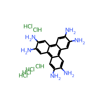 Cl.Cl.Cl.Cl.Cl.Cl.Nc1cc2c3cc(N)c(N)cc3c3cc(N)c(N)cc3c2cc1N